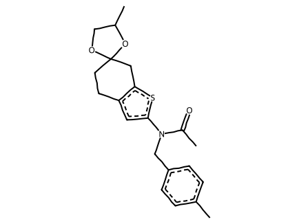 CC(=O)N(Cc1ccc(C)cc1)c1cc2c(s1)CC1(CC2)OCC(C)O1